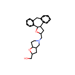 OCC1CC2CN(CC3CC4c5ccccc5Cc5ccccc5C4O3)CCC2O1